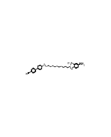 N#Cc1ccc(-c2ccc(OCCCCCCCCCCCCOc3ccc(N)cc3N)cc2)cc1